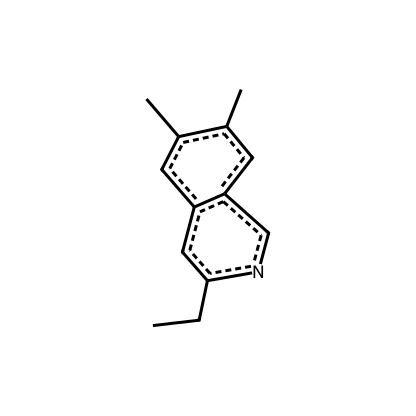 CCc1cc2cc(C)c(C)cc2cn1